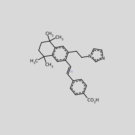 CC1(C)CCC(C)(C)c2cc(CCn3ccnc3)c(/C=C/c3ccc(C(=O)O)cc3)cc21